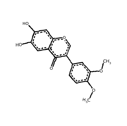 COc1ccc(-c2coc3cc(O)c(O)cc3c2=O)cc1OC